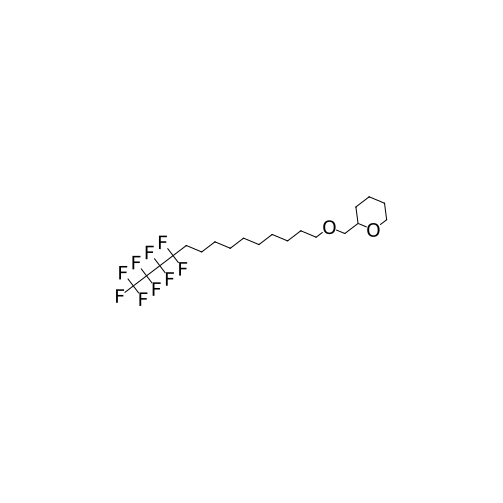 FC(F)(F)C(F)(F)C(F)(F)C(F)(F)CCCCCCCCCCOCC1CCCCO1